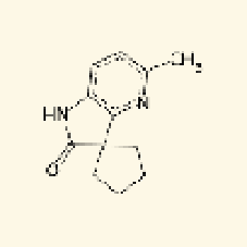 Cc1ccc2c(n1)C1(CCCC1)C(=O)N2